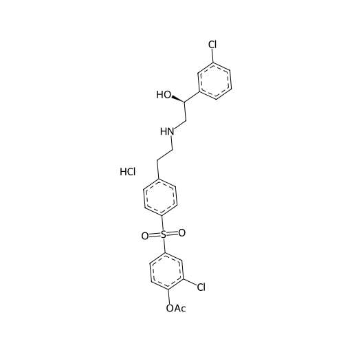 CC(=O)Oc1ccc(S(=O)(=O)c2ccc(CCNC[C@@H](O)c3cccc(Cl)c3)cc2)cc1Cl.Cl